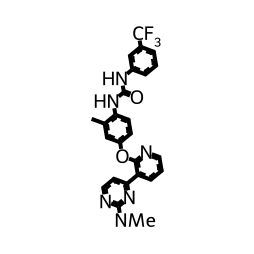 CNc1nccc(-c2cccnc2Oc2ccc(NC(=O)Nc3cccc(C(F)(F)F)c3)c(C)c2)n1